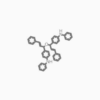 C(=CC(OC(C=Cc1ccccc1)c1ccc(Nc2ccccc2)cc1)c1ccc(Nc2ccccc2)cc1)c1ccccc1